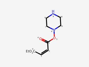 CCOC(=O)/C=C\C(=O)ON1CCNCC1